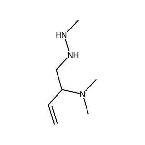 C=CC(CNNC)N(C)C